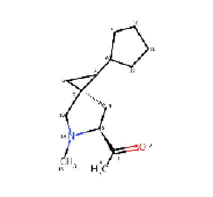 CC(=O)[C@@H]1C[C@@]2(CC2C2CCCC2)CN1C